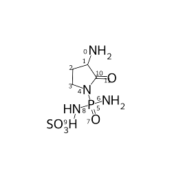 NC1CCN(P(N)(=O)NS(=O)(=O)O)C1=O